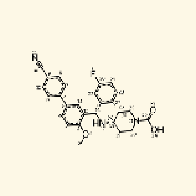 COc1ccc(-c2ccc(C#N)cc2)cc1CN[C@H]1CCN(C(=O)O)C[C@H]1c1ccc(F)cc1